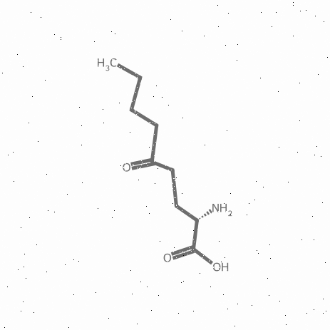 CCCCC(=O)CC[C@H](N)C(=O)O